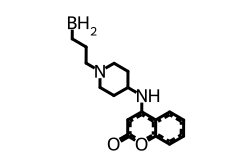 BCCCN1CCC(Nc2cc(=O)oc3ccccc23)CC1